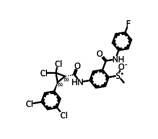 C[S+]([O-])c1ccc(NC(=O)[C@@H]2[C@@H](c3cc(Cl)cc(Cl)c3)C2(Cl)Cl)cc1C(=O)Nc1ccc(F)cc1